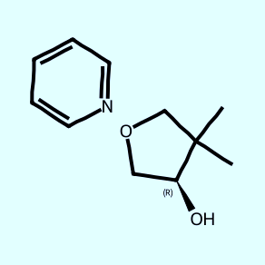 CC1(C)COC[C@@H]1O.c1ccncc1